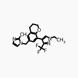 CCn1cc(-c2cc(Cn3ccnc3C)cc3c2OCCC3)c(C(F)(F)F)n1